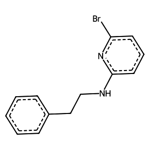 Brc1cccc(NCCc2ccccc2)n1